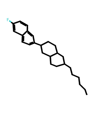 CCCCCCC1CCC2CC(c3ccc4cc(F)ccc4c3)CCC2C1